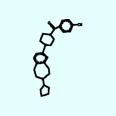 N#Cc1ccc(C(=O)N2CCN(c3ccc4c(c3)CCN(C3CCCC3)CC4)CC2)cc1